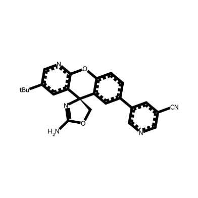 CC(C)(C)c1cnc2c(c1)[C@]1(COC(N)=N1)c1cc(-c3cncc(C#N)c3)ccc1O2